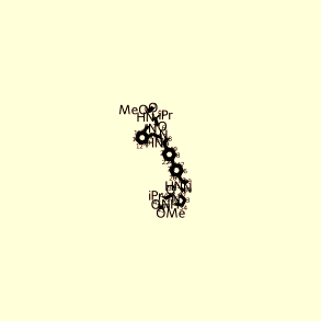 COC(=O)N[C@H](C(=O)N1Cc2ccccc2C1c1ncc(-c2ccc(-c3ccc(-c4cnc([C@@H]5CCCN5C(=O)[C@@H](NC(=O)OC)C(C)C)[nH]4)cc3)cc2)[nH]1)C(C)C